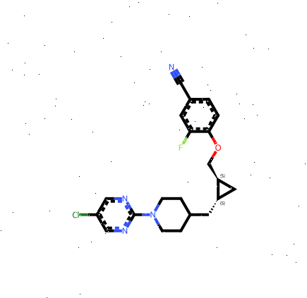 N#Cc1ccc(OC[C@H]2C[C@@H]2CC2CCN(c3ncc(Cl)cn3)CC2)c(F)c1